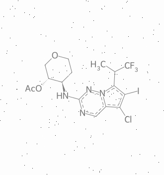 CC(=O)O[C@@H]1COCC[C@H]1Nc1ncc2c(Cl)c(I)c(C(C)C(F)(F)F)n2n1